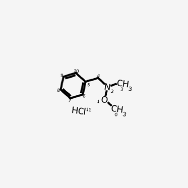 CON(C)Cc1ccccc1.Cl